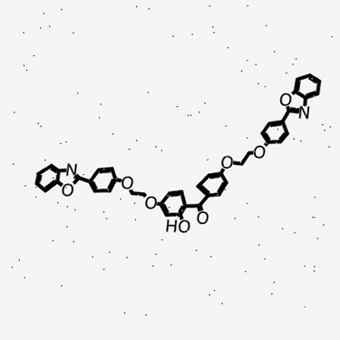 O=C(c1ccc(OCCOc2ccc(-c3nc4ccccc4o3)cc2)cc1)c1ccc(OCCOc2ccc(-c3nc4ccccc4o3)cc2)cc1O